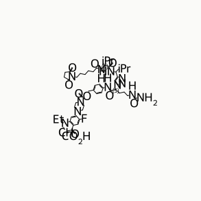 C#CN(CC)c1cc(N2CCN(C(=O)OCc3ccc(NC(=O)[C@H](CCCNC(N)=O)n4cc(C(NC(=O)[C@H](NC(=O)CCCCCN5C(=O)CCC5=O)C(C)C)C(C)C)nn4)cc3)CC2)c(F)cc1C(=O)CC(=O)O